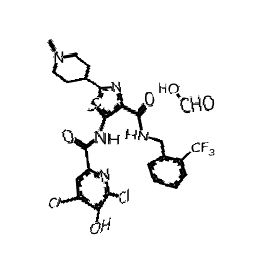 CN1CCC(c2nc(C(=O)NCc3ccccc3C(F)(F)F)c(NC(=O)c3cc(Cl)c(O)c(Cl)n3)s2)CC1.O=CO